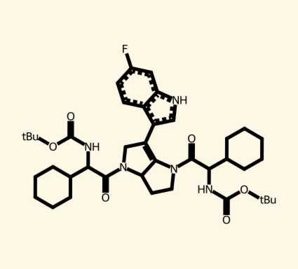 CC(C)(C)OC(=O)NC(C(=O)N1CCC2C1=C(c1c[nH]c3cc(F)ccc13)CN2C(=O)C(NC(=O)OC(C)(C)C)C1CCCCC1)C1CCCCC1